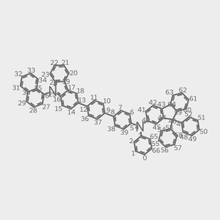 c1ccc(N(c2ccc(-c3ccc(-c4ccc5c(c4)c4ccccc4n5-c4cccc5ccccc45)cc3)cc2)c2ccc3c(c2)C(c2ccccc2)(c2ccccc2)c2ccccc2-3)cc1